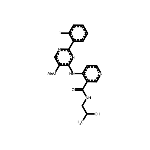 COc1cnc(-c2ccccc2F)nc1Nc1ccncc1C(=O)NCC(C)O